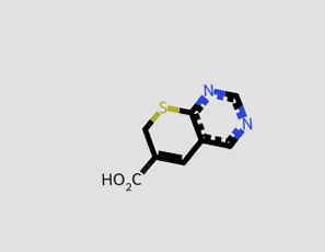 O=C(O)C1=Cc2cncnc2SC1